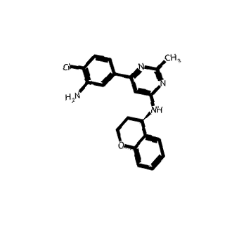 Cc1nc(N[C@@H]2CCOc3ccccc32)cc(-c2ccc(Cl)c(N)c2)n1